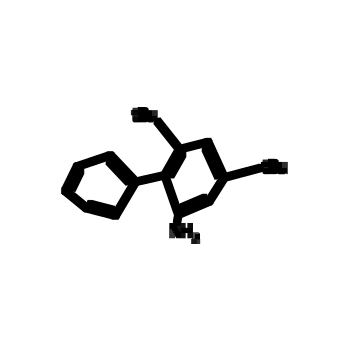 CC(C)(C)c1cc(N)c(-c2ccccc2)c(C(C)(C)C)c1